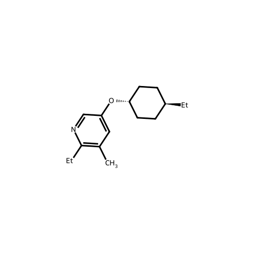 CCc1ncc(O[C@H]2CC[C@H](CC)CC2)cc1C